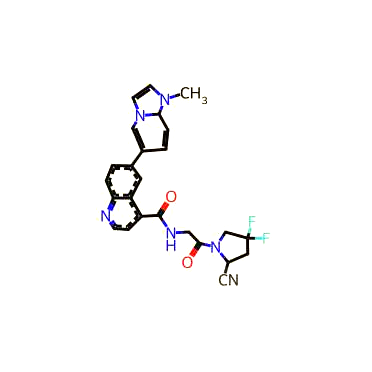 CN1C=CN2C=C(c3ccc4nccc(C(=O)NCC(=O)N5CC(F)(F)CC5C#N)c4c3)C=CC12